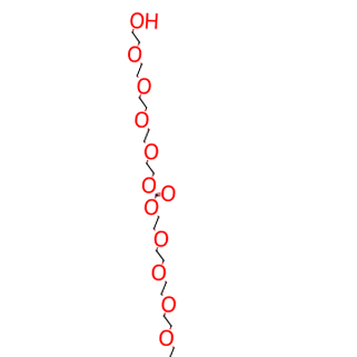 O=C(OCCOCCOCCOCCOCCO)OCCOCCOCCOCCOCCO